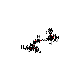 CCN(c1cc(-c2ccc(CN3CCN(CC(=O)NCCCCCCCCCOCC(=O)N[C@H](C(=O)N4CC(O)CC4C(=O)NCc4ccc(-c5scnc5C)cc4)C(C)(C)C)CC3)cc2)cc(C(=O)NCc2c(C)cc(C)[nH]c2=O)c1C)C1CCOCC1